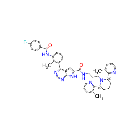 Cc1cccnc1[C@H]1CCC[C@@H](c2ncccc2C)N1CCCNC(=O)c1cc2c(-c3cccc(NC(=O)c4ccc(F)cc4)c3C)ncnc2[nH]1